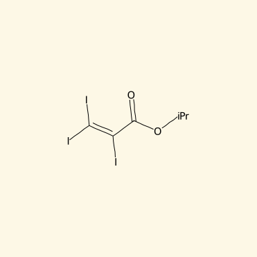 CC(C)OC(=O)C(I)=C(I)I